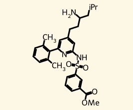 COC(=O)c1cccc(S(=O)(=O)Nc2cc(CCC(N)CC(C)C)cc(-c3c(C)cccc3C)n2)c1